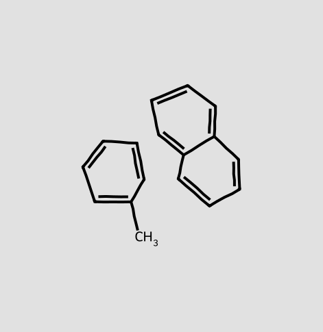 Cc1ccccc1.c1ccc2ccccc2c1